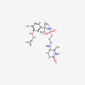 CC(C)(NS(=O)(=O)CCCNC1CCC(=O)NC1=O)c1ccc(F)c(OCC2CC2)c1